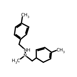 CC1=CCC(CN(C)NCc2ccc(C)cc2)C=C1